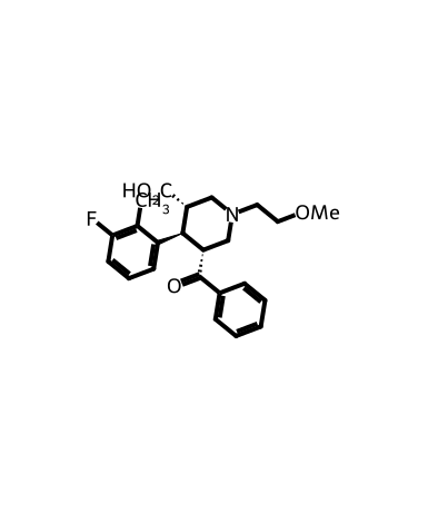 COCCN1C[C@H](C(=O)c2ccccc2)[C@@H](c2cccc(F)c2C)[C@H](C(=O)O)C1